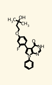 CC(C)(O)CCOc1ccc(-c2cn(-c3ccccc3)c3nc[nH]c(=O)c23)c(F)c1